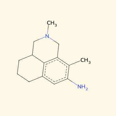 Cc1c(N)cc2c3c1CN(C)CC3CCC2